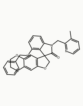 Cc1cccnc1CN1C(=O)C2(COc3cc4c(cc32)OCCO4)c2c(NCc3ccccc3)cccc21